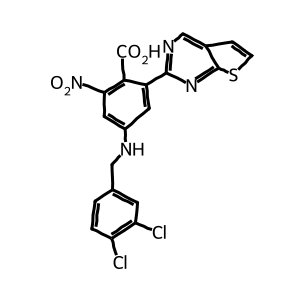 O=C(O)c1c(-c2ncc3ccsc3n2)cc(NCc2ccc(Cl)c(Cl)c2)cc1[N+](=O)[O-]